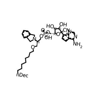 CCCCCCCCCCCCCCCCCCOC[C@H](COP(=O)(O)OC[C@H]1O[C@@](C#N)(c2ccc3c(N)ncnn23)[C@H](O)[C@@H]1O)N1Cc2ccccc2C1